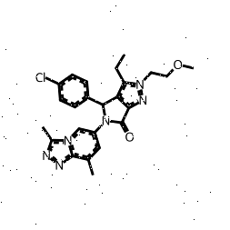 CCc1c2c(nn1CCOC)C(=O)N(c1cc(C)c3nnc(C)n3c1)C2c1ccc(Cl)cc1